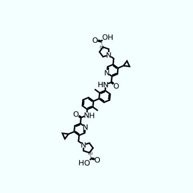 Cc1c(NC(=O)c2cc(C3CC3)c(CN3CC[C@H](C(=O)O)C3)cn2)cccc1-c1cccc(NC(=O)c2cc(C3CC3)c(CN3CC[C@H](C(=O)O)C3)cn2)c1C